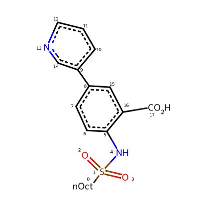 CCCCCCCCS(=O)(=O)Nc1ccc(-c2cccnc2)cc1C(=O)O